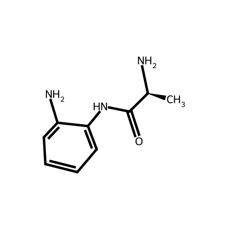 C[C@H](N)C(=O)Nc1ccccc1N